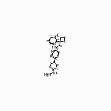 NNC1CCC(c2ccc(NCC3(c4ncccc4F)CCC3)nn2)CC1